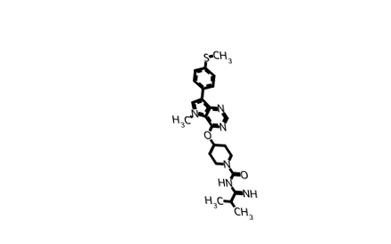 CSc1ccc(-c2cn(C)c3c(OC4CCN(C(=O)NC(=N)C(C)C)CC4)ncnc23)cc1